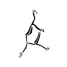 CC(C)c1cn(C(C)C)c(C(C)C)n1